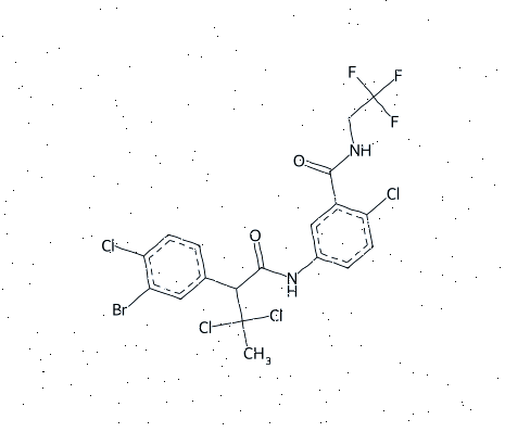 CC(Cl)(Cl)C(C(=O)Nc1ccc(Cl)c(C(=O)NCC(F)(F)F)c1)c1ccc(Cl)c(Br)c1